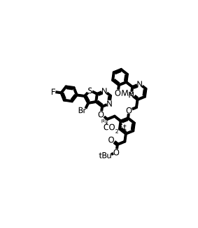 CCOC(=O)[C@@H](Cc1cc(CC(=O)OC(C)(C)C)ccc1OCc1ccnc(-c2ccccc2OC)n1)Oc1ncnc2sc(-c3ccc(F)cc3)c(Br)c12